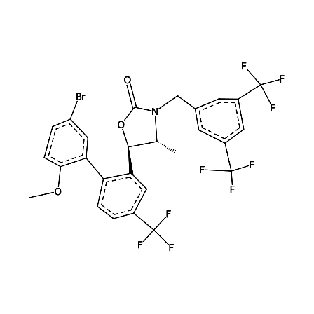 COc1ccc(Br)cc1-c1ccc(C(F)(F)F)cc1[C@H]1OC(=O)N(Cc2cc(C(F)(F)F)cc(C(F)(F)F)c2)[C@@H]1C